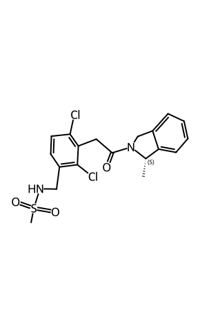 C[C@H]1c2ccccc2CN1C(=O)Cc1c(Cl)ccc(CNS(C)(=O)=O)c1Cl